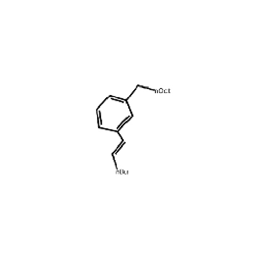 CCCC/C=C/c1cccc(CCCCCCCCC)c1